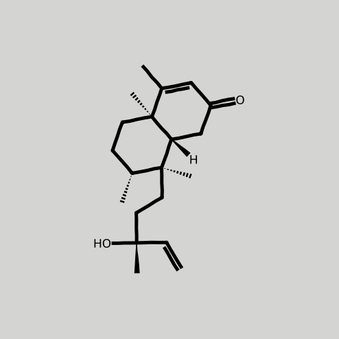 C=C[C@](C)(O)CC[C@@]1(C)[C@H](C)CC[C@@]2(C)C(C)=CC(=O)C[C@H]12